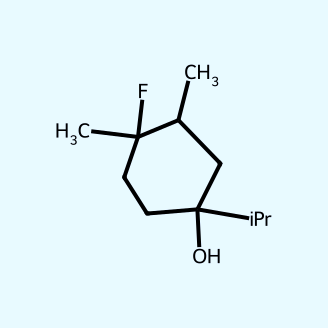 CC1CC(O)(C(C)C)CCC1(C)F